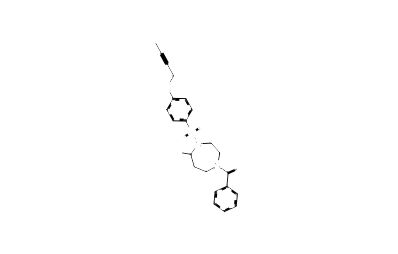 CC#CCOc1ccc(S(=O)(=O)N2CCN(C(=O)c3ccccc3)CCC2C(=O)O)cc1